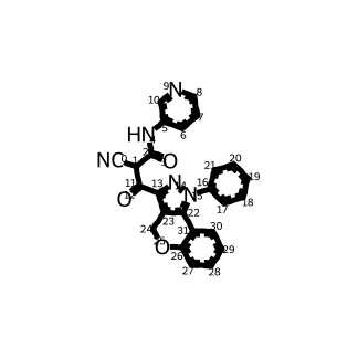 N#CC(C(=O)Nc1cccnc1)C(=O)c1nn(-c2ccccc2)c2c1COc1ccccc1-2